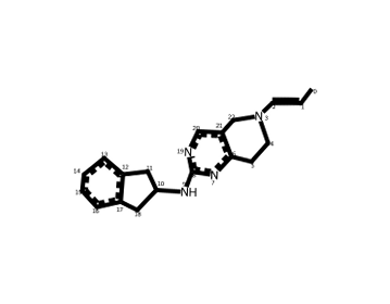 CC=CN1CCc2nc(NC3Cc4ccccc4C3)ncc2C1